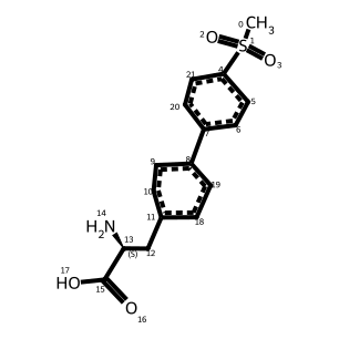 CS(=O)(=O)c1ccc(-c2ccc(C[C@H](N)C(=O)O)cc2)cc1